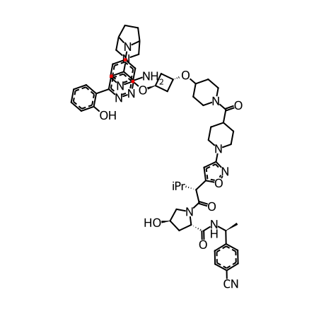 CC(C)[C@@H](C(=O)N1C[C@H](O)C[C@H]1C(=O)N[C@@H](C)c1ccc(C#N)cc1)c1cc(N2CCC(C(=O)N3CCC(O[C@H]4C[C@H](Oc5cc(N6C7CCC6CN(c6cc(-c8ccccc8O)nnc6N)C7)ccn5)C4)CC3)CC2)no1